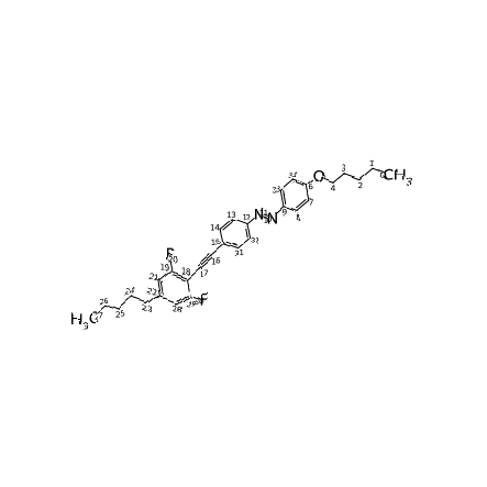 CCCCCOc1ccc(N=Nc2ccc(C#Cc3c(F)cc(CCCCC)cc3F)cc2)cc1